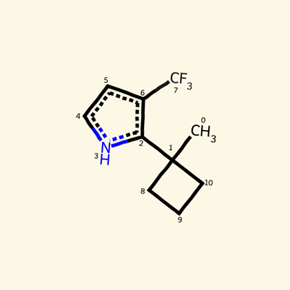 CC1(c2[nH]ccc2C(F)(F)F)CCC1